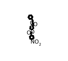 O=C(OC1CCN(C(=O)OCc2ccccc2)C1)c1ccc([N+](=O)[O-])cc1